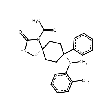 CC(=O)N1C(=O)NC[C@]12CC[C@@](c1ccccc1)(N(C)c1ccccc1C)CC2